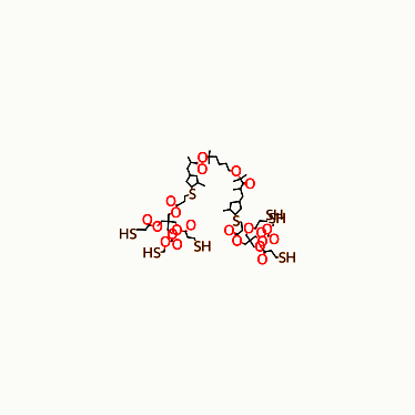 CC(CC1CC(C)C(SCCC(=O)OCC(COC(=O)CCS)(COC(=O)CCS)COC(=O)OCS)C1)C(=O)OC(C)(C)CCCCOC(C)(C)C(=O)C(C)CC1CC(C)C(SCCC(=O)OCC(COC(=O)CCS)(COC(=O)CCS)COC(=O)OCS)C1